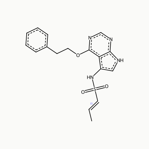 C/C=C/S(=O)(=O)Nc1c[nH]c2ncnc(OCCc3ccccc3)c12